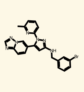 Cc1cccc(-n2nc(NCc3cccc(Br)c3)cc2-c2ccc3ncnn3c2)n1